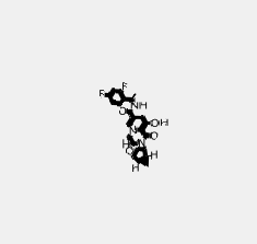 C[C@@H](NC(=O)C1=CN2C[C@@H]3OC4CC([C@H]5C[C@@H]45)N3C(=O)C2=C(O)C1)c1ccc(F)cc1F